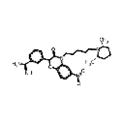 C[C@@H]1CCC[C@H](C)N1CCCCCN1C(=O)C(c2cccc(C(=N)N)c2)Oc2ccc([N+](=O)[O-])cc21